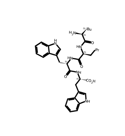 CC[C@H](C)[C@H](N)C(=O)N[C@@H](CC(C)C)C(=O)N[C@@H](Cc1c[nH]c2ccccc12)C(=O)N[C@@H](Cc1c[nH]c2ccccc12)C(=O)O